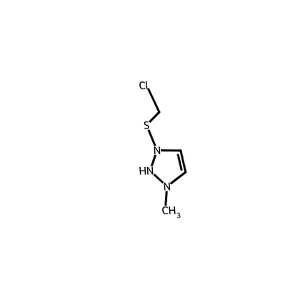 CN1C=CN(SCCl)N1